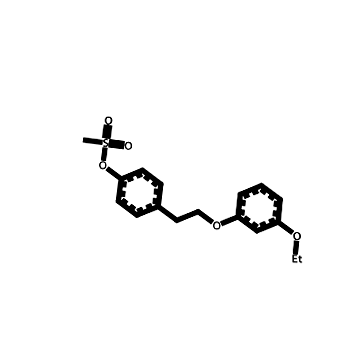 CCOc1[c]c(OCCc2ccc(OS(C)(=O)=O)cc2)ccc1